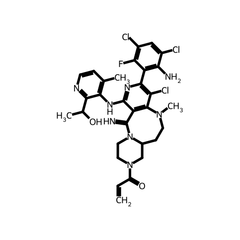 C=CC(=O)N1CCN2C(=N)c3c(Nc4c(C)ccnc4C(C)O)nc(-c4c(N)c(Cl)cc(Cl)c4F)c(Cl)c3N(C)CCC2C1